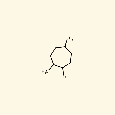 CCC1CCN(C)CCC1C